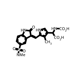 CNS(=O)(=O)c1ccc2c(c1)C(=Cc1[nH]cc(C(NC(=O)O)C(=O)O)c1C)C(=O)N2